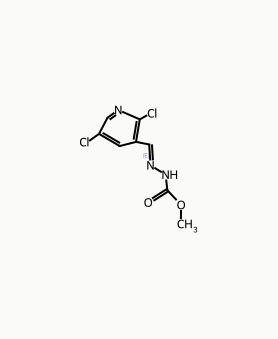 COC(=O)N/N=C/c1cc(Cl)cnc1Cl